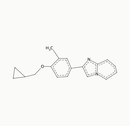 Cc1cc(-c2cn3ccccc3n2)ccc1OCC1CC1